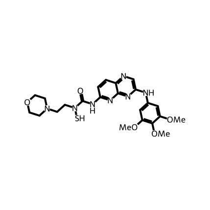 COc1cc(Nc2cnc3ccc(NC(=O)N(S)CCN4CCOCC4)nc3n2)cc(OC)c1OC